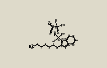 CCCCCCCc1cc2ccccc2[s+]1C(F)(F)F.O=C([O-])C(F)(F)F